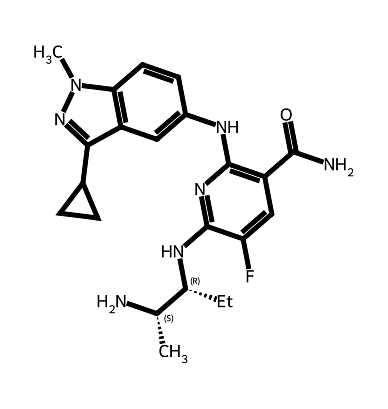 CC[C@@H](Nc1nc(Nc2ccc3c(c2)c(C2CC2)nn3C)c(C(N)=O)cc1F)[C@H](C)N